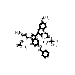 CC(=O)O.COc1ccc2c(c1)nc(-c1cn(CCCN)c3ccc(OCc4ccccc4)cc13)c(=O)n2CC(=O)OC(C)(C)C